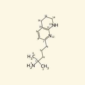 CC(C)(N)CCCc1ccc2c(n1)NCCC2